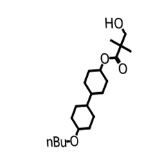 CCCCOC1CCC(C2CCC(OC(=O)C(C)(C)CO)CC2)CC1